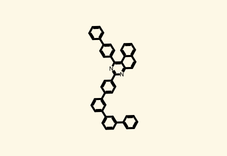 c1ccc(-c2ccc(-c3nc(-c4ccc(-c5cccc(-c6cccc(-c7ccccc7)c6)c5)cc4)nc4ccc5ccccc5c34)cc2)cc1